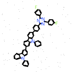 Fc1ccc(-c2nc(-c3ccc(F)cc3)nc(-c3ccc(-c4ccc5c6ccc(-c7ccc8c(c7)c7ccccc7n8-c7ccccc7)cc6n(-c6ccccc6)c5c4)cc3)n2)cc1